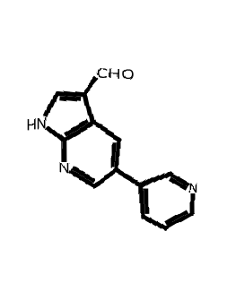 O=Cc1c[nH]c2ncc(-c3cccnc3)cc12